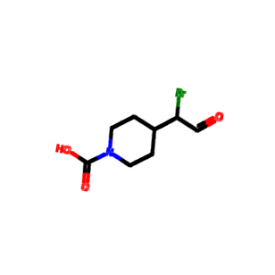 O=CC(Br)C1CCN(C(=O)O)CC1